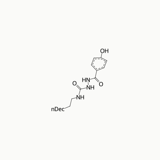 CCCCCCCCCCCCNC(=O)NNC(=O)c1ccc(O)cc1